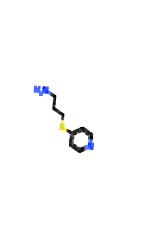 NCCCSc1ccncc1